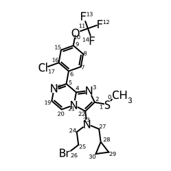 CSc1nc2c(-c3ccc(OC(F)(F)F)cc3Cl)nccn2c1N(CCBr)CC1CC1